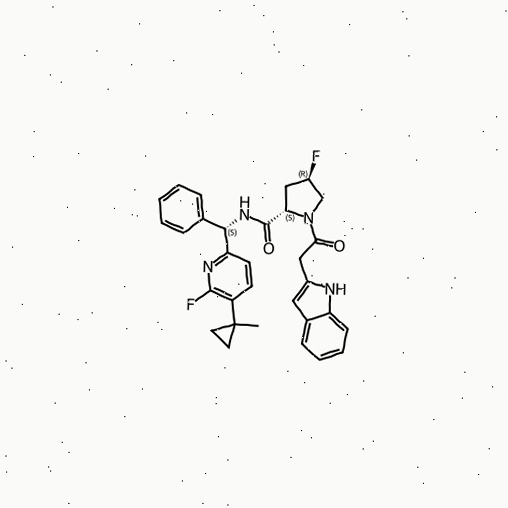 CC1(c2ccc([C@@H](NC(=O)[C@@H]3C[C@@H](F)CN3C(=O)Cc3cc4ccccc4[nH]3)c3ccccc3)nc2F)CC1